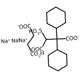 O=C([O-])C(C(C(=O)[O-])(C1CCCCC1)C1CCCCC1)S(=O)(=O)O.O=C([O-])CCC(=O)O.[Na+].[Na+].[Na+]